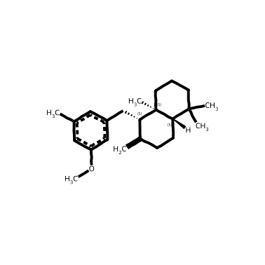 C=C1CC[C@H]2C(C)(C)CCC[C@]2(C)[C@H]1Cc1cc(C)cc(OC)c1